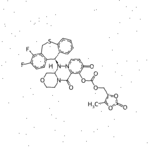 Cc1oc(=O)oc1COC(=O)Oc1c2n(ccc1=O)N([C@@H]1c3ccccc3SCc3c1ccc(F)c3F)[C@@H]1COCCN1C2=O